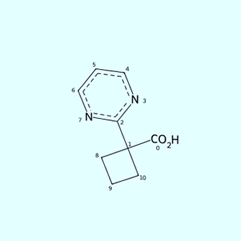 O=C(O)C1(c2ncccn2)CCC1